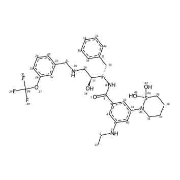 CCNc1cc(C(=O)N[C@@H](Cc2ccccc2)[C@@H](O)CNCc2cccc(OC(F)(F)F)c2)cc(N2CCCCS2(O)O)c1